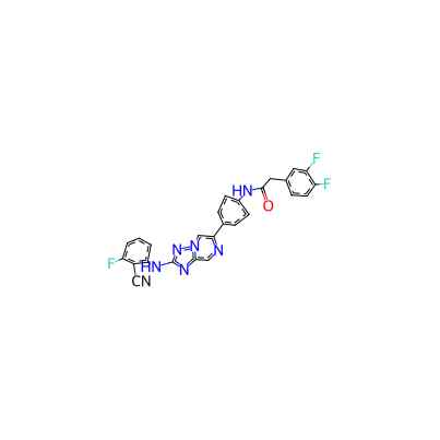 N#Cc1c(F)cccc1Nc1nc2cnc(-c3ccc(NC(=O)Cc4ccc(F)c(F)c4)cc3)cn2n1